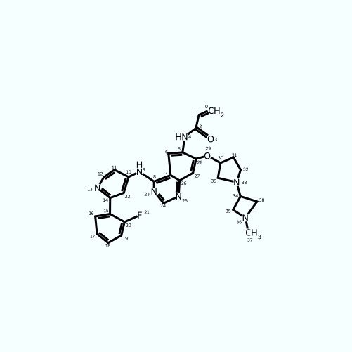 C=CC(=O)Nc1cc2c(Nc3ccnc(-c4ccccc4F)c3)ncnc2cc1OC1CCN(C2CN(C)C2)C1